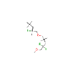 COCC(F)(F)CC(C)(C)COCC(C)(F)CC(C)(C)C